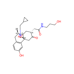 O=C(C[C@H]1C[C@@]2(O)[C@H]3Cc4ccc(O)cc4[C@@]2(CCN3CC2CC2)CC1=O)NCCCO